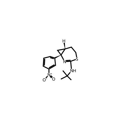 CC(C)(C)NC1=N[C@]2(c3cccc([N+](=O)[O-])c3)C[C@@H]2CCS1